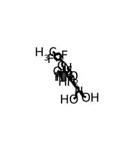 Cc1cc(F)c(COc2nsc(NC(=O)NCCCN(CCO)CCO)c2C(N)=O)cc1F